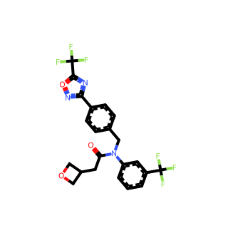 O=C(CC1COC1)N(Cc1ccc(-c2noc(C(F)(F)F)n2)cc1)c1cccc(C(F)(F)F)c1